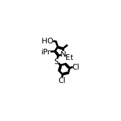 CCn1c(C)c(CO)c(C(C)C)c1Sc1cc(Cl)cc(Cl)c1